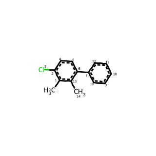 Cc1c(Cl)ccc(-c2ccccc2)c1C